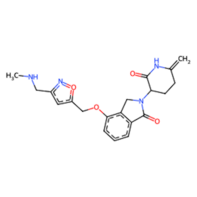 C=C1CCC(N2Cc3c(OCc4cc(CNC)no4)cccc3C2=O)C(=O)N1